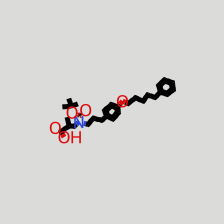 CC(CN(CCCc1ccc(OCCCCCc2ccccc2)cc1)C(=O)OC(C)(C)C)C(=O)O